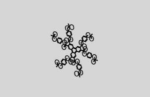 CC(=O)Oc1ccc(OC(=O)c2cc3c4cc(C(=O)Oc5ccc(OC(C)=O)cc5)c(C(=O)Oc5ccc(OC(C)=O)cc5)cc4c4cc(C(=O)Oc5ccc(OC(C)=O)cc5)c(C(=O)Oc5ccc(OC(C)=O)cc5)cc4c3cc2C(=O)Oc2ccc(OC(C)=O)cc2)cc1